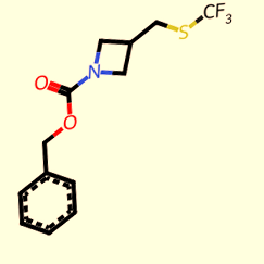 O=C(OCc1ccccc1)N1CC(CSC(F)(F)F)C1